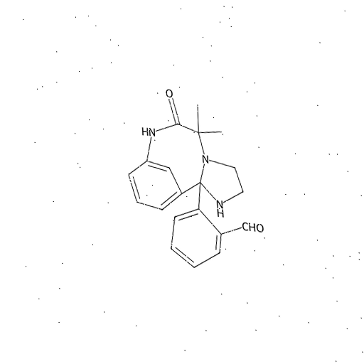 CC1(C)C(=O)Nc2cccc(c2)C2(c3ccccc3C=O)NCCN12